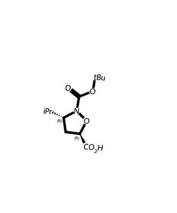 CC(C)[C@H]1C[C@H](C(=O)O)ON1C(=O)OC(C)(C)C